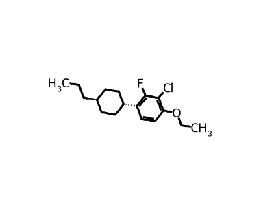 CCC[C@H]1CC[C@H](c2ccc(OCC)c(Cl)c2F)CC1